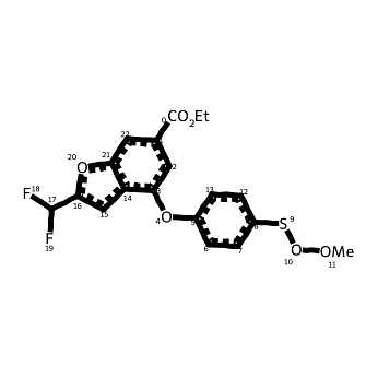 CCOC(=O)c1cc(Oc2ccc(SOOC)cc2)c2cc(C(F)F)oc2c1